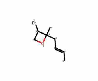 CC=CCC1(C)OCC1CC